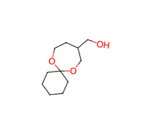 OCC1CCOC2(CCCCC2)OC1